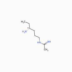 CC[C@@H](N)CCCNC(C)=N